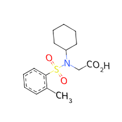 Cc1ccccc1S(=O)(=O)N(CC(=O)O)C1CCCCC1